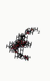 CC(=O)N[C@H]1[C@H](OC2[C@@H](CO)OC(O)[C@H](NC(C)=O)[C@H]2O[C@H](C)C(=O)N[C@@H](C)C(=O)NCCCC(=O)NC(CCCCN=[N+]=[N-])C(=O)O)O[C@H](CO)[C@@H](O[C@@H]2O[C@H](CO)C(O[C@@H]3O[C@H](CO)[C@@H](O)[C@H](O)[C@H]3NC(C)=O)[C@H](O[C@H](C)C(=O)N[C@@H](C)C(=O)NCCCC(=O)N[C@@H](CCCCN)C(=O)O)[C@H]2NC(C)=O)[C@@H]1O